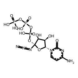 [N-]=[N+]=N[C@]1(OP(=O)(O)OP(=O)(O)OP(=O)(O)O)O[C@@H](n2ccc(N)nc2=O)[C@H](O)[C@@H]1O